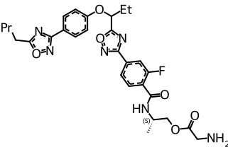 CCC(Oc1ccc(-c2noc(CC(C)C)n2)cc1)c1nc(-c2ccc(C(=O)N[C@@H](C)COC(=O)CN)c(F)c2)no1